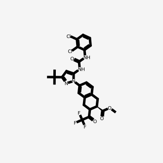 COC(=O)[C@@H]1Cc2ccc(-n3nc(C(C)(C)C)cc3NC(=O)Nc3cccc(Cl)c3Cl)cc2CC1C(=O)C(F)(F)F